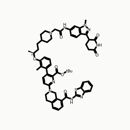 Cc1c(O[C@@H](C)CCC2CCN(CC(=O)Nc3ccc4c(C5CCC(=O)NC5=O)nn(C)c4c3)CC2)cccc1-c1ccc(N2CCc3cccc(C(=O)Nc4nc5ccccc5s4)c3C2)nc1C(=O)OC(C)(C)C